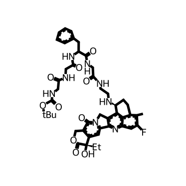 CC[C@@]1(O)C(=O)OCc2c1cc1n(c2=O)Cc2c-1nc1cc(F)c(C)c3c1c2[C@@H](NCCNC(=O)CNC(=O)C(Cc1ccccc1)NC(=O)CNC(=O)CNC(=O)OC(C)(C)C)CC3